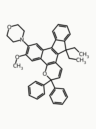 CCC1(CC)c2ccccc2-c2c1c1c(c3cc(OC)c(N4CCOCC4)cc23)OC(c2ccccc2)(c2ccccc2)C=C1